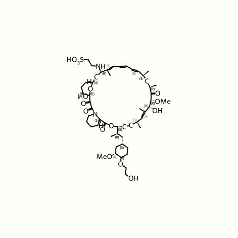 CO[C@@H]1C[C@H](C[C@@H](C)[C@@H]2CC[C@H](C)/C=C(\C)[C@@H](O)[C@@H](OC)C(=O)[C@H](C)C[C@H](C)/C=C/C=C/C=C(\C)[C@H](NCCS(=O)(=O)O)C[C@@H]3CC[C@@H](C)[C@@](O)(O3)C(=O)C(=O)N3CCCC[C@H]3C(=O)O2)CC[C@H]1OCCO